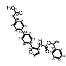 CC(OC(=O)Nc1ccoc1-c1ccc(-c2ccc(CC(=O)O)cc2)cc1)c1ccccc1